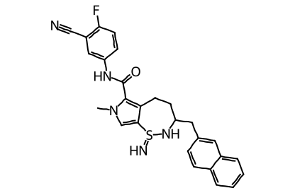 Cn1cc2c(c1C(=O)Nc1ccc(F)c(C#N)c1)CCC(Cc1ccc3ccccc3c1)NS2=N